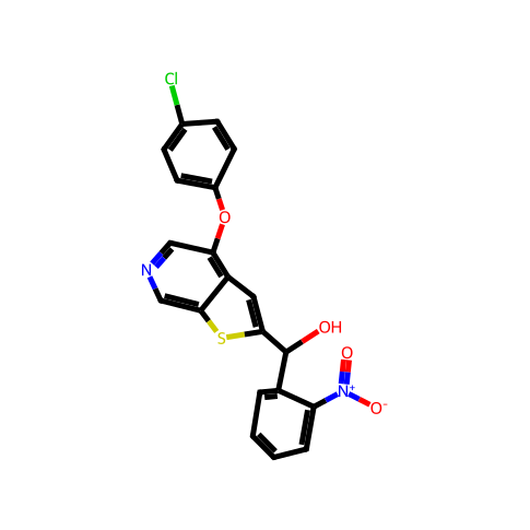 O=[N+]([O-])c1ccccc1C(O)c1cc2c(Oc3ccc(Cl)cc3)cncc2s1